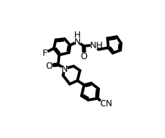 N#Cc1ccc(C2CCN(C(=O)c3cc(NC(=O)NCc4ccccc4)ccc3F)CC2)cc1